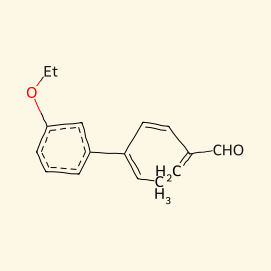 C=C(C=O)/C=C\C(=C/C)c1cccc(OCC)c1